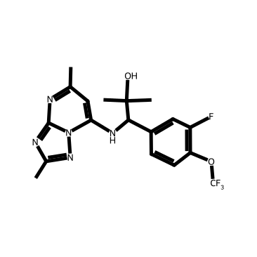 Cc1cc(NC(c2ccc(OC(F)(F)F)c(F)c2)C(C)(C)O)n2nc(C)nc2n1